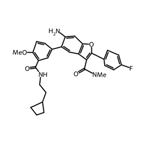 CNC(=O)c1c(-c2ccc(F)cc2)oc2cc(N)c(-c3ccc(OC)c(C(=O)NCCC4CCC4)c3)cc12